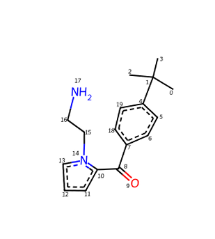 CC(C)(C)c1ccc(C(=O)c2cccn2CCN)cc1